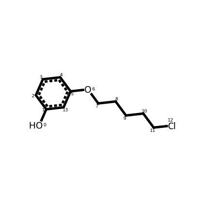 Oc1cccc(OCCCCCCl)c1